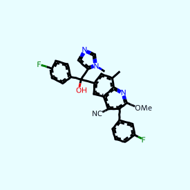 COc1nc2c(C)cc(C(O)(c3ccc(F)cc3)c3cncn3C)cc2c(C#N)c1-c1cccc(F)c1